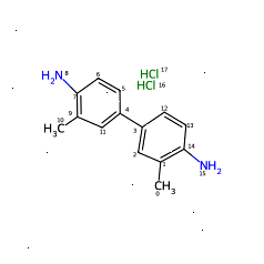 Cc1cc(-c2ccc(N)c(C)c2)ccc1N.Cl.Cl